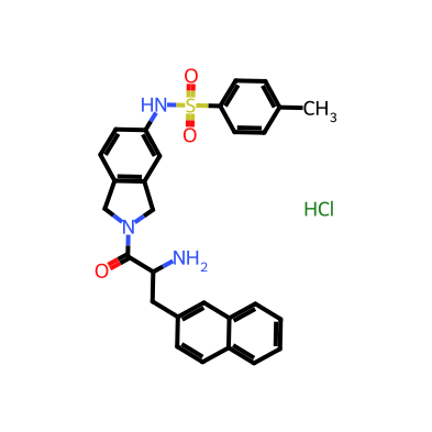 Cc1ccc(S(=O)(=O)Nc2ccc3c(c2)CN(C(=O)C(N)Cc2ccc4ccccc4c2)C3)cc1.Cl